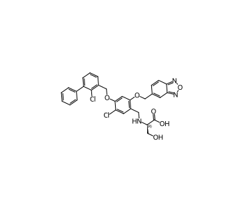 O=C(O)[C@@H](CO)NCc1cc(Cl)c(OCc2cccc(-c3ccccc3)c2Cl)cc1OCc1ccc2nonc2c1